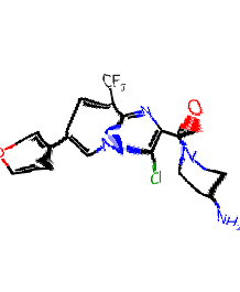 NC1CN(C(=O)c2nc3c(C(F)(F)F)cc(-c4ccoc4)cn3c2Cl)C1